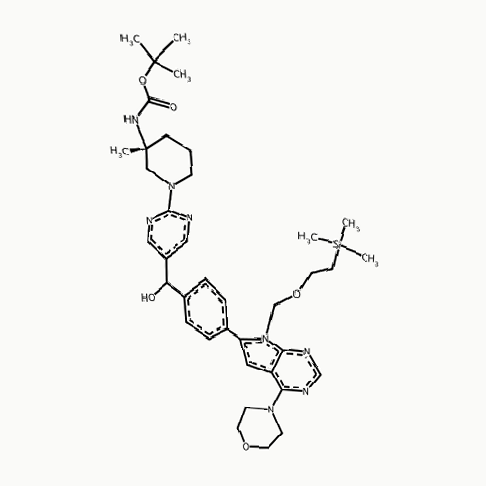 CC(C)(C)OC(=O)N[C@]1(C)CCCN(c2ncc(C(O)c3ccc(-c4cc5c(N6CCOCC6)ncnc5n4COCC[Si](C)(C)C)cc3)cn2)C1